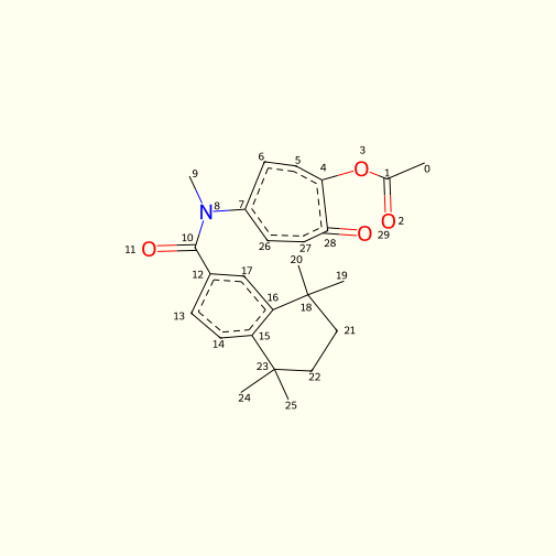 CC(=O)Oc1ccc(N(C)C(=O)c2ccc3c(c2)C(C)(C)CCC3(C)C)ccc1=O